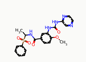 COc1ccc(C(=O)NC(C)S(=O)(=O)c2ccccc2)cc1NC(=O)Nc1cnccn1